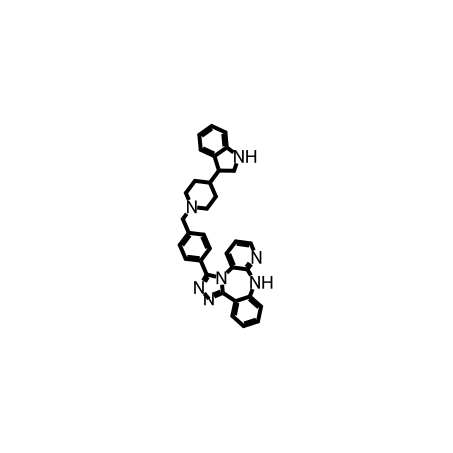 c1ccc2c(c1)Nc1ncccc1-n1c(-c3ccc(CN4CCC(C5CNc6ccccc65)CC4)cc3)nnc1-2